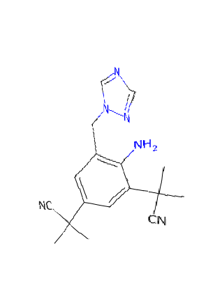 CC(C)(C#N)c1cc(Cn2cncn2)c(N)c(C(C)(C)C#N)c1